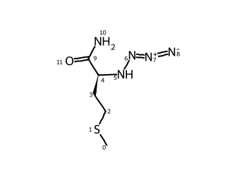 CSCC[C@H](NN=[N+]=[N-])C(N)=O